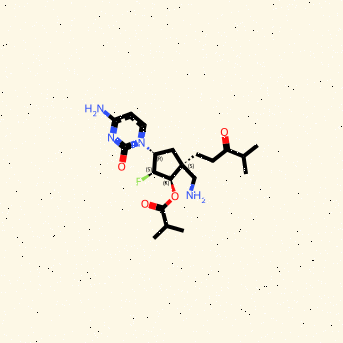 CC(C)C(=O)CC[C@@]1(CN)C[C@@H](n2ccc(N)nc2=O)[C@H](F)[C@@H]1OC(=O)C(C)C